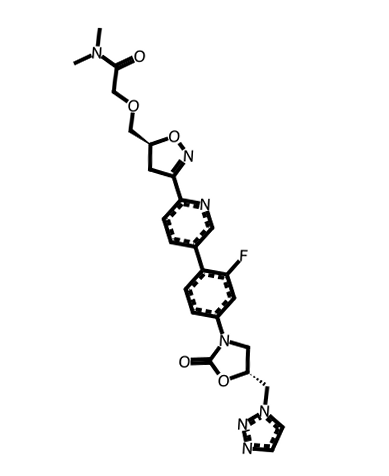 CN(C)C(=O)COC[C@@H]1CC(c2ccc(-c3ccc(N4C[C@H](Cn5ccnn5)OC4=O)cc3F)cn2)=NO1